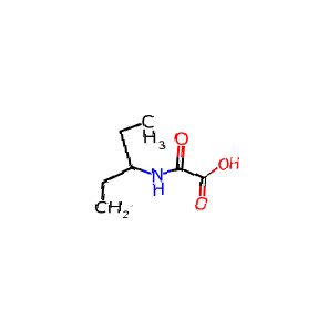 [CH2]CC(CC)NC(=O)C(=O)O